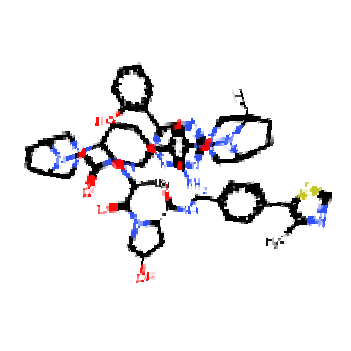 Cc1ncsc1-c1ccc(CNC(=O)[C@@H]2C[C@@H](O)CN2C(=O)[C@@H](NC(=O)CN2C3CCC2CN(C2CCC(c4cnc(N5C6CC[C@H]5CN(c5cc(-c7ccccc7O)nnc5N)C6)nc4)CC2)C3)C(C)(C)C)cc1